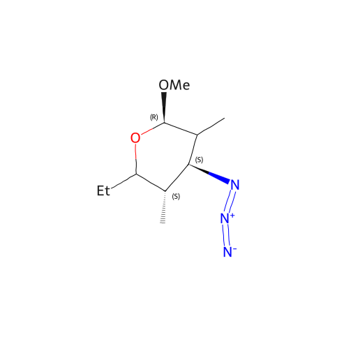 CCC1O[C@@H](OC)C(C)[C@@H](N=[N+]=[N-])[C@@H]1C